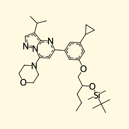 CCCC(COc1cc(-c2cc(N3CCOCC3)n3ncc(C(C)C)c3n2)cc(C2CC2)c1)O[Si](C)(C)C(C)(C)C